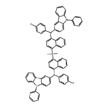 C[Si](C)(c1ccc(N(c2ccc(F)cc2)c2ccc3c(c2)c2ccccc2n3-c2ccccc2)c2ccccc12)c1ccc(N(c2ccc(F)cc2)c2ccc3c(c2)c2ccccc2n3-c2ccccc2)c2ccccc12